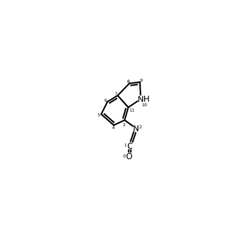 O=C=Nc1cccc2cc[nH]c12